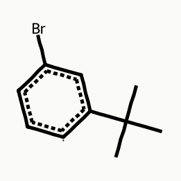 CC(C)(C)c1[c]ccc(Br)c1